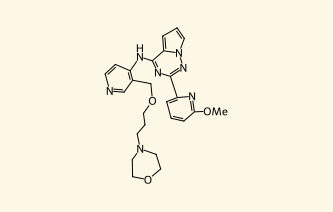 COc1cccc(-c2nc(Nc3ccncc3COCCCN3CCOCC3)c3cccn3n2)n1